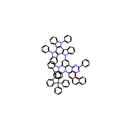 c1ccc(-c2ccc(N(c3ccc4c(c3)C(c3ccccc3)(c3ccccc3)c3ccccc3-4)c3c(-c4nc(-c5ccccc5)nc(-c5ccccc5)n4)cc(-n4c5ccccc5c5c6c(c7ccccc7n6-c6ccccc6)c6c(c7ccccc7n6-c6ccccc6)c54)cc3-n3c4ccccc4c4ccccc43)cc2)cc1